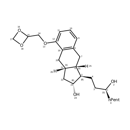 CCCCC[C@H](O)CC[C@@H]1[C@H]2Cc3cccc(OCC4OCO4)c3C[C@H]2C[C@H]1O